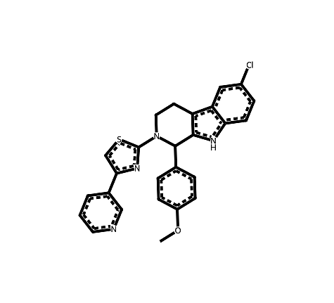 COc1ccc(C2c3[nH]c4ccc(Cl)cc4c3CCN2c2nc(-c3cccnc3)cs2)cc1